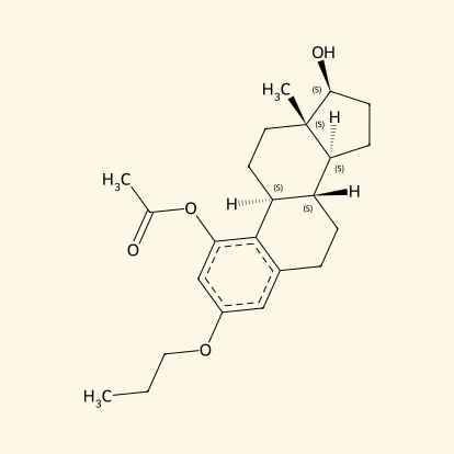 CCCOc1cc2c(c(OC(C)=O)c1)[C@H]1CC[C@]3(C)[C@@H](O)CC[C@H]3[C@@H]1CC2